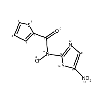 O=C(c1cccs1)N(Cl)c1ncc([N+](=O)[O-])s1